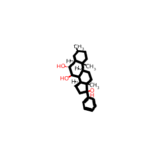 C[C@H]1CC[C@@]2(C)[C@H](C1)[C@@H](O)[C@H](O)C1[C@@H]2CC[C@@]2(C)[C@H]1CC[C@@]2(O)c1ccccc1